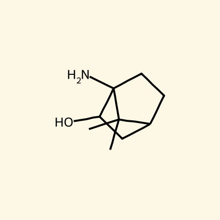 CC1(C)C2CCC1(N)C(O)C2